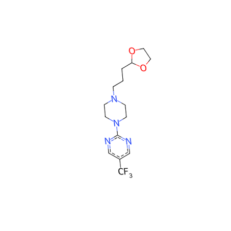 FC(F)(F)c1cnc(N2CCN(CCCC3OCCO3)CC2)nc1